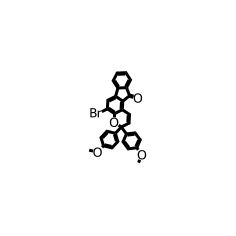 COc1ccc(C2(c3ccc(OC)cc3)C=Cc3c(c(Br)cc4c3C(=O)c3ccccc3-4)O2)cc1